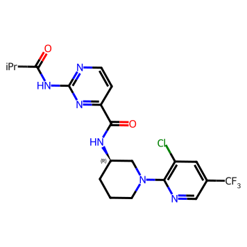 CC(C)C(=O)Nc1nccc(C(=O)N[C@@H]2CCCN(c3ncc(C(F)(F)F)cc3Cl)C2)n1